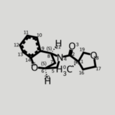 C[C@@]1(C(=O)N2C[C@@H]3C[C@H]2c2ccccc2O3)CCOC1